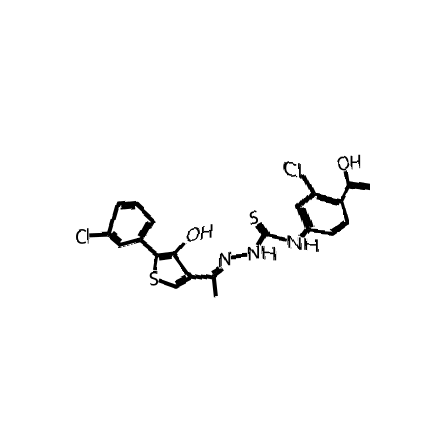 C=C(O)c1ccc(NC(=S)N/N=C(\C)c2csc(-c3cccc(Cl)c3)c2O)cc1Cl